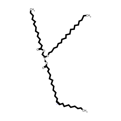 CCCCCCCC/C=C\CCCCCCCCCCCC(=O)OC[C@H](COC(=O)CCCCCCCCCCCCC)OCCCCCCCCCCCCCCCCCC